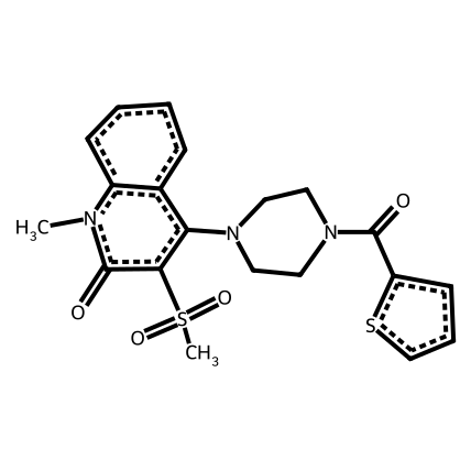 Cn1c(=O)c(S(C)(=O)=O)c(N2CCN(C(=O)c3cccs3)CC2)c2ccccc21